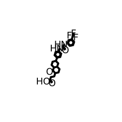 O=C(O)CCC1CCC2CC(c3ccc(NC(=O)Nc4cccc(C(F)(F)F)c4)cc3)CCC2C1=O